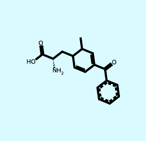 CC1C=C(C(=O)c2ccccc2)C=CC1C[C@H](N)C(=O)O